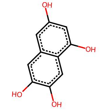 Oc1cc(O)c2cc(O)c(O)cc2c1